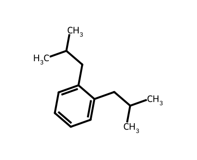 CC(C)Cc1ccccc1CC(C)C